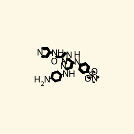 CN(C)S(=O)(=O)c1ccc(Nc2cc(N[C@H]3CC[C@H](N)CC3)nn3c(C(=O)Nc4ccncc4)cnc23)cc1